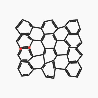 c1ccc(-c2ccc(-c3ccccc3)c3c(-c4ccccc4)c4c(-c5ccccc5)c5c(-c6ccccc6)ccc(-c6ccccc6)c5c(-c5ccccc5)c4c(-c4ccccc4)c23)cc1